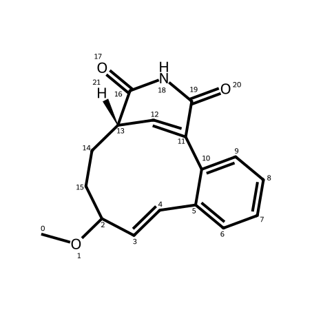 COC1/C=C/c2ccccc2C2=C[C@H](CC1)C(=O)NC2=O